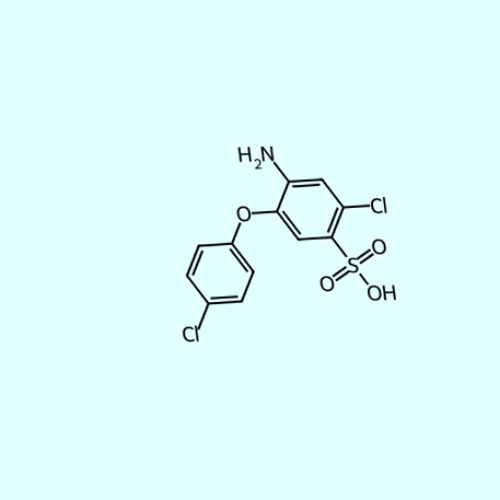 Nc1cc(Cl)c(S(=O)(=O)O)cc1Oc1ccc(Cl)cc1